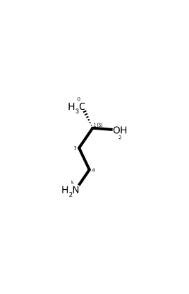 C[C@H](O)CCN